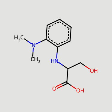 CN(C)c1ccccc1NC(CO)C(=O)O